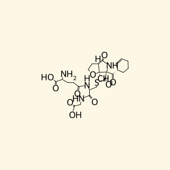 C[C@]12OCC[C@H]1C(=O)N[C@]2(C(=O)SCC(NC(=O)CCC(N)C(=O)O)C(=O)NCC(=O)O)C(=O)[C@@H]1C=CCCC1